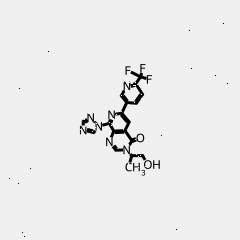 CC(CO)n1cnc2c(-n3cncn3)nc(-c3ccc(C(F)(F)F)nc3)cc2c1=O